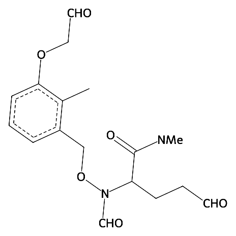 CNC(=O)C(CCC=O)N(C=O)OCc1cccc(OCC=O)c1C